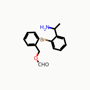 CC(N)c1ccccc1Br.O=COCc1ccccc1